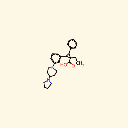 CCC1(C(=O)O)C(c2ccccc2)C1c1cccc(N2CCC(N3CCCC3)CC2)c1